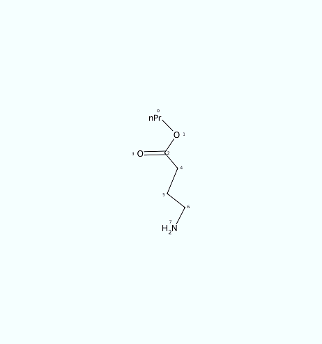 CCCOC(=O)CCCN